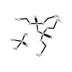 CCOP(=S)(OCC)OP(=S)(OCC)OCC.O=P(O)(O)S